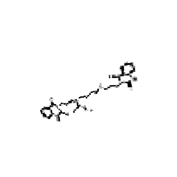 CC(C)(C)OC(=O)N(CCCCNCCCn1c(=O)[nH]c2ccccc2c1=O)CCCn1c(=O)[nH]c2ccccc2c1=O